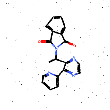 CC(c1nccnc1-c1ccccn1)N1C(=O)c2ccccc2C1=O